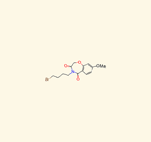 COc1ccc2c(c1)OCC(=O)N(CCCCBr)C2=O